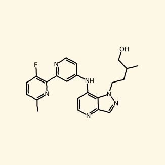 Cc1ccc(F)c(-c2cc(Nc3ccnc4cnn(CCC(C)CO)c34)ccn2)n1